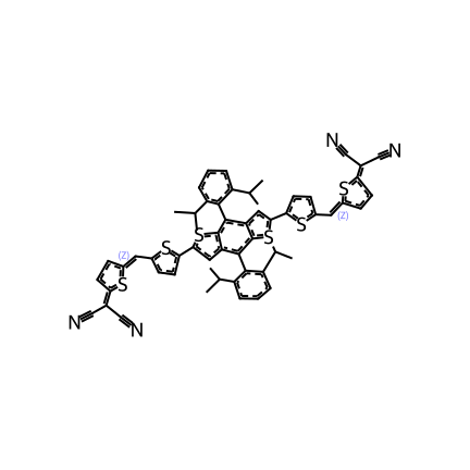 CC(C)c1cccc(C(C)C)c1-c1c2cc(-c3ccc(/C=c4/ccc(=C(C#N)C#N)s4)s3)sc2c(-c2c(C(C)C)cccc2C(C)C)c2cc(-c3ccc(/C=c4/ccc(=C(C#N)C#N)s4)s3)sc12